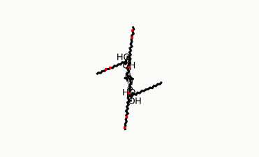 CCCCCCCCCCCCCCC(O)CN(CCSSCCN1CC(C)N(CCSSCCN(CC(O)CCCCCCCCCCCCCC)CC(O)CCCCCCCCCCCCCC)CC1C)CC(O)CCCCCCCCCCCCCC